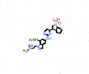 CCS(=O)(=O)n1cc(-c2ccnc(Nc3cc(NC(C)=O)c4c(cnn4CCN(C)C)c3)n2)c2ccccc21